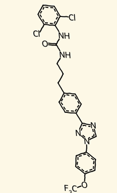 O=C(NCCCc1ccc(-c2ncn(-c3ccc(OC(F)(F)F)cc3)n2)cc1)Nc1c(Cl)cccc1Cl